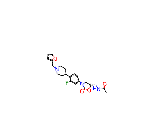 CC(=O)NC[C@H]1CN(c2ccc(C3CCN(Cc4ccco4)CC3)c(F)c2)C(=O)O1